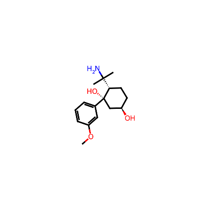 COc1cccc([C@]2(O)C[C@H](O)CC[C@H]2C(C)(C)N)c1